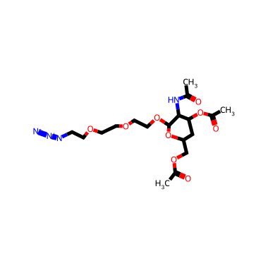 CC(=O)NC1C(OC(C)=O)CC(COC(C)=O)OC1OCCOCCOCCN=[N+]=[N-]